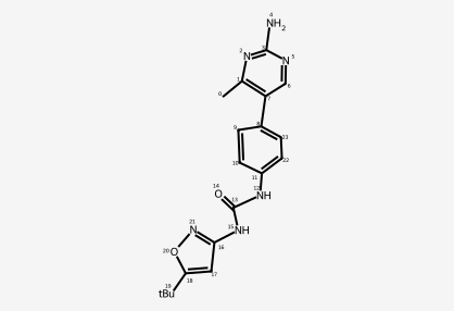 Cc1nc(N)ncc1-c1ccc(NC(=O)Nc2cc(C(C)(C)C)on2)cc1